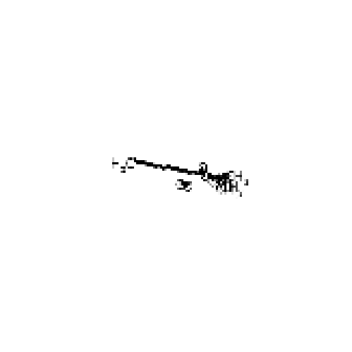 CCCCCCCCCCCCCCCCCC(=O)OCC(O)C[N+](CC)(CC)CC.O=C[O-]